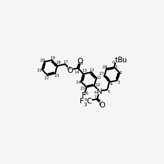 CC(C)(C)c1ccc(CN(C(=O)C(F)(F)F)c2ccc(C(=O)OCc3ccccc3)cc2F)cc1